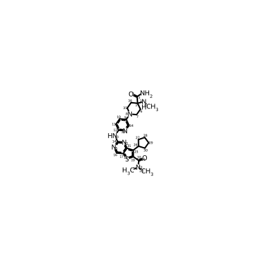 CNC1(C(N)=O)CCN(c2ccc(Nc3ncc4sc(C(=O)N(C)C)c(C5CCCC5)c4n3)nc2)CC1